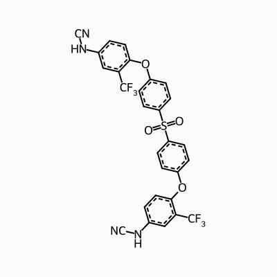 N#CNc1ccc(Oc2ccc(S(=O)(=O)c3ccc(Oc4ccc(NC#N)cc4C(F)(F)F)cc3)cc2)c(C(F)(F)F)c1